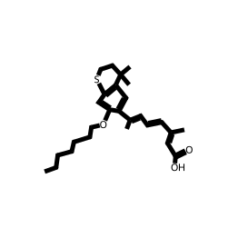 CCCCCCCOc1cc2c(cc1C(C)=CC=CC(C)=CC(=O)O)C(C)(C)CCS2